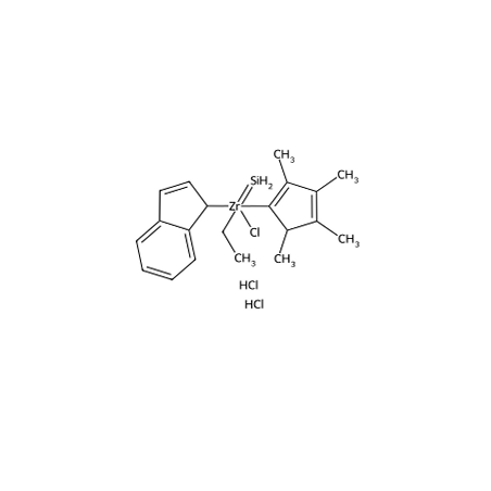 C[CH2][Zr](=[SiH2])([Cl])([C]1=C(C)C(C)=C(C)C1C)[CH]1C=Cc2ccccc21.Cl.Cl